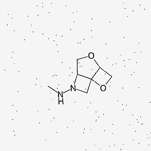 CNN1CC23OCC2OCC13